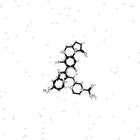 CC(=O)N1CCO[C@@H](Cc2c(-c3c(F)cc4c(c3F)OCC3CCC(=O)N43)nc3cc(C)ccn23)C1